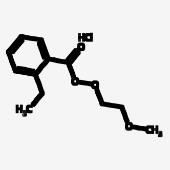 CCc1ccccc1C(=O)OOCCOC.Cl